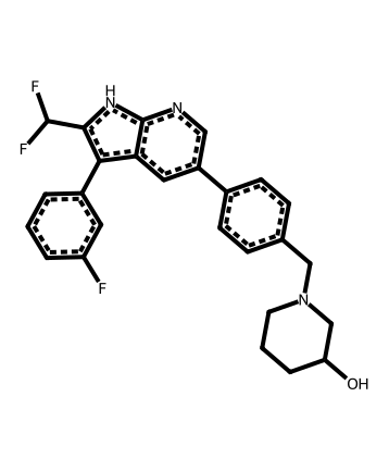 OC1CCCN(Cc2ccc(-c3cnc4[nH]c(C(F)F)c(-c5cccc(F)c5)c4c3)cc2)C1